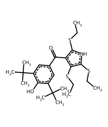 CCSc1[nH]c(SCC)c(C(=O)c2cc(C(C)(C)C)c(O)c(C(C)(C)C)c2)c1SCC